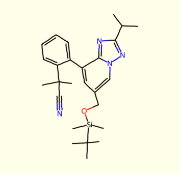 CC(C)c1nc2c(-c3ccccc3C(C)(C)C#N)cc(CO[Si](C)(C)C(C)(C)C)cn2n1